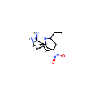 CCC1C[C@@]2([N+](=O)[O-])CC(CN)[N@]1[C@@H](CN)C2